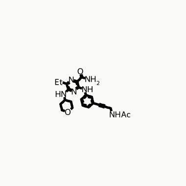 CCc1nc(C(N)=O)c(Nc2cccc(C#CCNC(C)=O)c2)nc1NC1CCOCC1